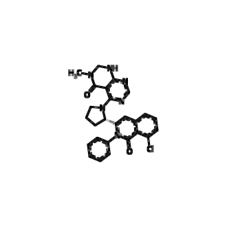 CN1CNc2ncnc(N3CCC[C@H]3c3cc4cccc(Cl)c4c(=O)n3-c3ccccc3)c2C1=O